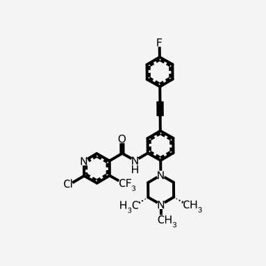 C[C@@H]1CN(c2ccc(C#Cc3ccc(F)cc3)cc2NC(=O)c2cnc(Cl)cc2C(F)(F)F)C[C@H](C)N1C